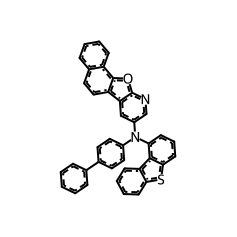 c1ccc(-c2ccc(N(c3cnc4oc5c6ccccc6ccc5c4c3)c3cccc4sc5ccccc5c34)cc2)cc1